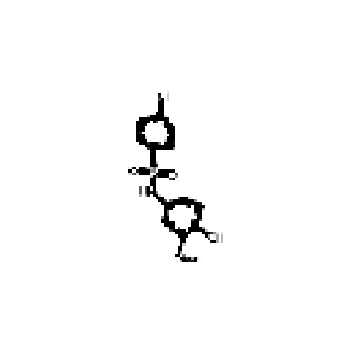 COc1cc(NS(=O)(=O)c2ccc(Cl)cc2)ccc1O